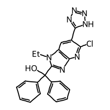 CCn1c(C(O)(c2ccccc2)c2ccccc2)nc2nc(Cl)c(-c3nnn[nH]3)cc21